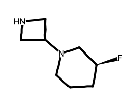 F[C@H]1CCCN(C2CNC2)C1